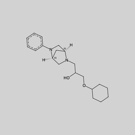 OC(COC1CCCCC1)CN1C[C@@H]2C[C@H]1CN2c1ccccc1